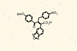 COc1ccc(C(=O)C(Cc2ccc([N+](=O)[O-])cc2)=C(C(=O)O)c2ccc3nonc3c2)cc1